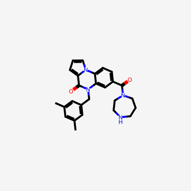 Cc1cc(C)cc(Cn2c(=O)c3cccn3c3ccc(C(=O)N4CCCNCC4)cc32)c1